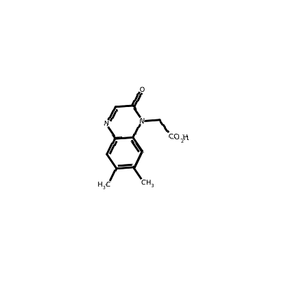 Cc1cc2ncc(=O)n(CC(=O)O)c2cc1C